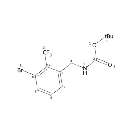 CC(C)(C)OC(=O)NCc1cccc(Br)c1C(F)(F)F